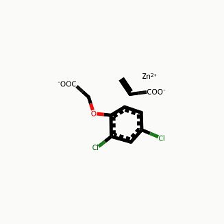 C=CC(=O)[O-].O=C([O-])COc1ccc(Cl)cc1Cl.[Zn+2]